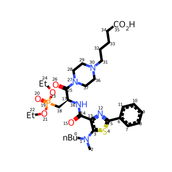 CCCCN(C)c1sc(-c2ccccc2)nc1C(=O)N[C@@H](CP(=O)(OCC)OCC)C(=O)N1CCN(CCCCC(=O)O)CC1